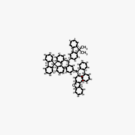 CC1(C)c2ccccc2-c2cc(N(c3cccc(N(c4ccc5c(c4)oc4ccccc45)c4ccccc4-c4ccccc4)c3)c3cccc(C4(c5ccccc5)c5ccccc5-c5ccccc54)c3)ccc21